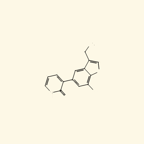 CC(C)(C)c1cc(-c2ccc[nH]c2=O)cc2c(CC#N)coc12